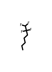 CCCCCC(F)(F)[C](F)F